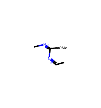 C/C=N\C(=N/C)OC